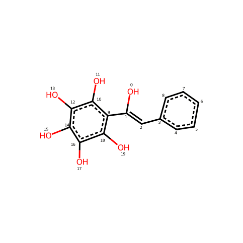 OC(=Cc1ccccc1)c1c(O)c(O)c(O)c(O)c1O